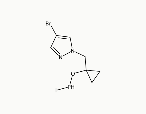 Brc1cnn(CC2(OPI)CC2)c1